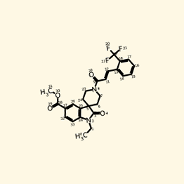 CCN1C(=O)C2(CCN(C(=O)/C=C/c3ccccc3C(F)(F)F)CC2)c2cc(C(=O)OC)ccc21